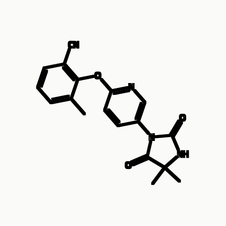 Cc1cccc(C#N)c1Oc1ccc(N2C(=O)NC(C)(C)C2=O)cn1